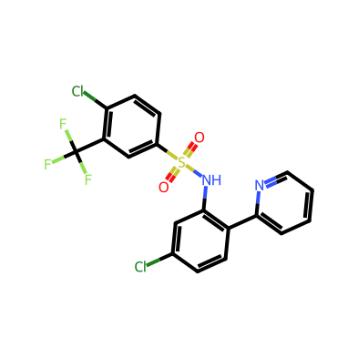 O=S(=O)(Nc1cc(Cl)ccc1-c1ccccn1)c1ccc(Cl)c(C(F)(F)F)c1